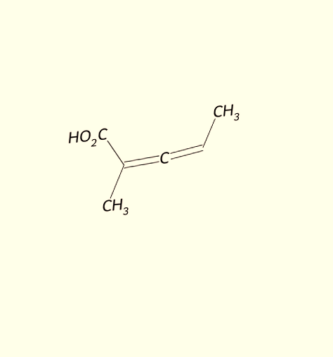 CC=C=C(C)C(=O)O